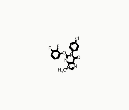 Cn1cnc2c(=O)n(-c3ccc(Cl)cc3)c(Oc3cccc(F)c3F)nc21